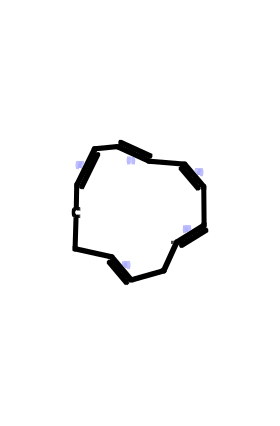 [C]1=C/C=C\C=C\C=C/CC/C=C/C/1